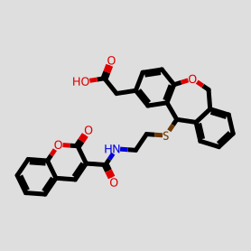 O=C(O)Cc1ccc2c(c1)C(SCCNC(=O)c1cc3ccccc3oc1=O)c1ccccc1CO2